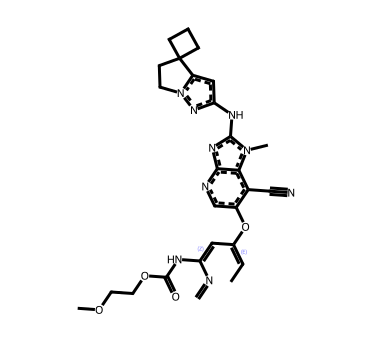 C=N/C(=C\C(=C/C)Oc1cnc2nc(Nc3cc4n(n3)CCC43CCC3)n(C)c2c1C#N)NC(=O)OCCOC